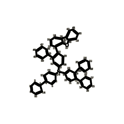 c1ccc(-c2ccc(N(c3ccc(-c4ccccc4)c(-c4ccccc4)c3)c3ccc(-c4cccc5c4oc4ccccc45)c(-c4ccccc4)c3)cc2)cc1